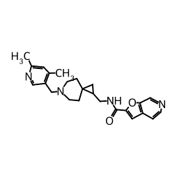 Cc1cc(C)c(CN2CCC3(CC2)CC3CNC(=O)c2cc3ccncc3o2)cn1